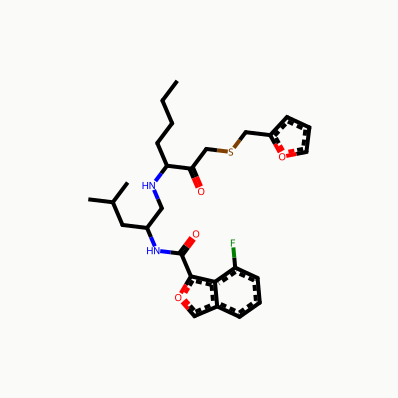 CCCCC(NCC(CC(C)C)NC(=O)c1occ2cccc(F)c12)C(=O)CSCc1ccco1